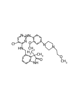 COCCN1CCN(c2ccc(Nc3ncc(Cl)c(NCc4cccc5c4C(C)(C)C(=O)N5)n3)c(OC)c2)CC1